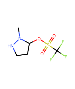 CN1NCCC1OS(=O)(=O)C(F)(F)F